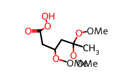 COOC(CC(=O)OO)CC(C)(OOC)OOC